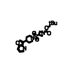 CC(C)(C)COC(=O)N1CC(S(=O)(=O)N2CCC(c3coc4cccnc34)CC2)C1